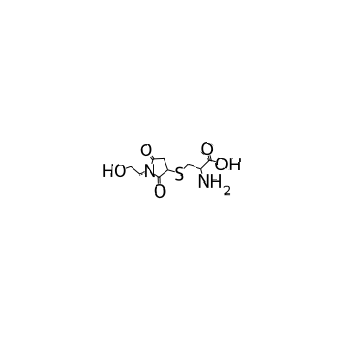 NC(CSC1CC(=O)N(CCO)C1=O)C(=O)O